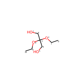 CCOC(CO)(CO)OCC